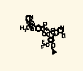 CS(=O)(=O)N(Cc1ncccn1)c1ccc2c(c1)C(=O)N(CC(=O)O[C@@H](Cc1c(Cl)cncc1Cl)c1ccc(OC(F)F)c(OCC3CC3)c1)C2=O